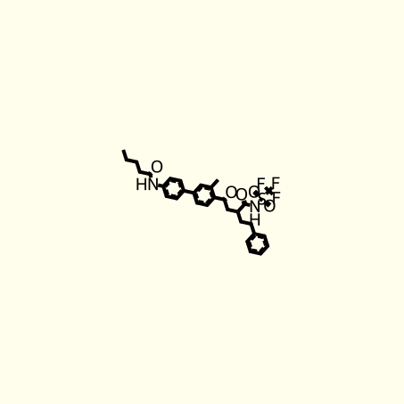 CCCCC(=O)Nc1ccc(-c2ccc(C(=O)CC(CCc3ccccc3)C(=O)NS(=O)(=O)C(F)(F)F)c(C)c2)cc1